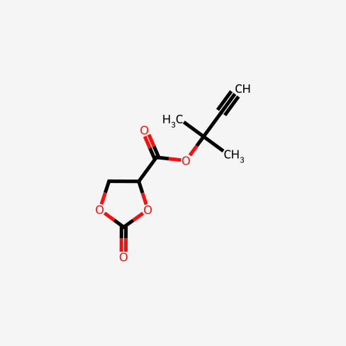 C#CC(C)(C)OC(=O)C1COC(=O)O1